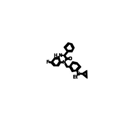 CCN(c1cccc(CN(C(=O)[C@@H](N)c2ccccc2)c2ccc(F)cc2)c1)C1CC1